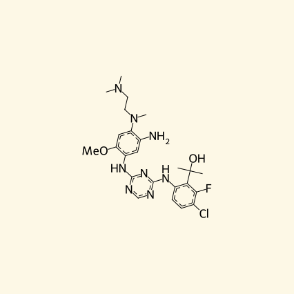 COc1cc(N(C)CCN(C)C)c(N)cc1Nc1ncnc(Nc2ccc(Cl)c(F)c2C(C)(C)O)n1